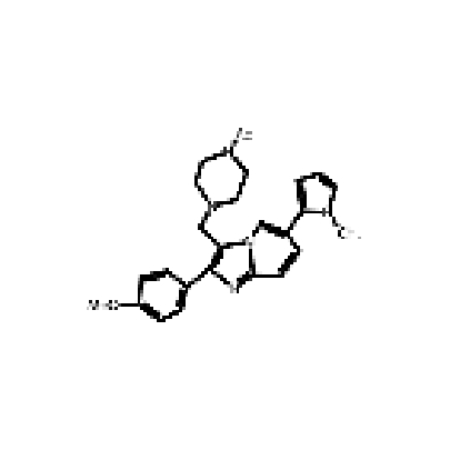 COc1ccc(-c2nc3ccc(-c4cccn4C)cn3c2CN2CCN(C(C)=O)CC2)cc1